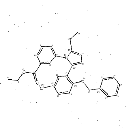 CCOC(=O)c1cccc(-n2c(CC)ccc2-c2cc(Cl)ccc2OCc2ccccc2)c1